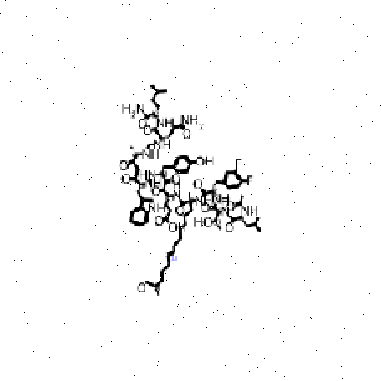 CC(=O)N[C@@H](CC(C)C)C(=O)N[C@H](C(=O)N[C@@H](Cc1ccc(F)c(F)c1)C(=O)N[C@](C)(CCCCCC/C=C/CCC[C@@H](C)C=O)C(=O)N[C@@H](CCC(=O)O)C(=O)C(=O)[C@H](Cc1ccc(O)cc1)NN[C@@H](Cc1c[nH]c2ccccc12)C(=O)CC(=O)[C@H](C)NCN[C@@H](CCC(N)=O)C(=O)N[C@@H](CCC(C)C)C(N)=O)[C@@H](C)O